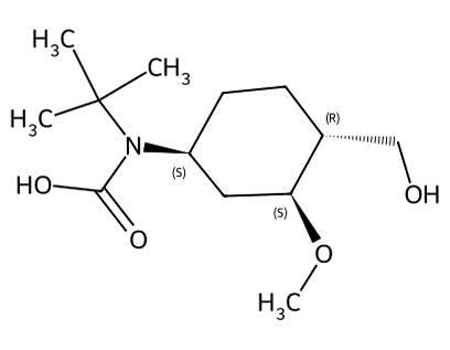 CO[C@H]1C[C@@H](N(C(=O)O)C(C)(C)C)CC[C@@H]1CO